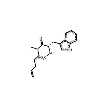 C=CCCCN(C)C(=O)[C@H](Cc1c[nH]c2ccccc12)NC(=O)O